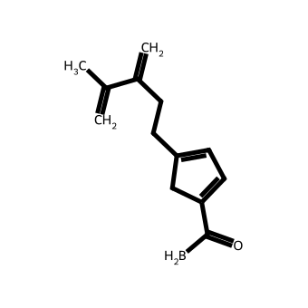 BC(=O)C1=CC=C(CCC(=C)C(=C)C)C1